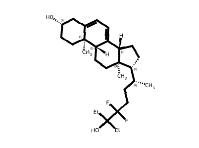 CCC(O)(CC)C(F)(F)CC[C@@H](C)[C@H]1CC[C@H]2C3=CC=C4C[C@@H](O)CC[C@]4(C)[C@H]3CC[C@]12C